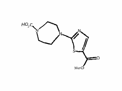 COC(=O)c1cnc(N2CCN(C(=O)O)CC2)s1